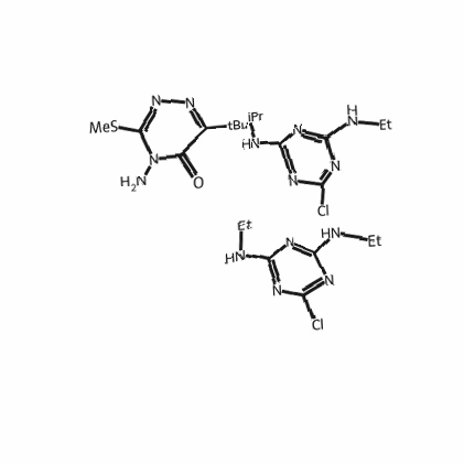 CCNc1nc(Cl)nc(NC(C)C)n1.CCNc1nc(Cl)nc(NCC)n1.CSc1nnc(C(C)(C)C)c(=O)n1N